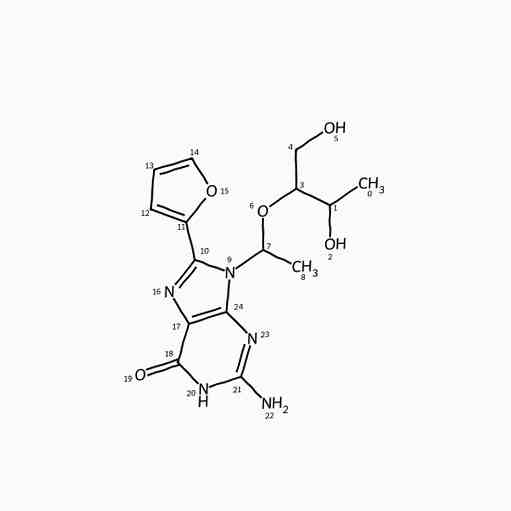 CC(O)C(CO)OC(C)n1c(-c2ccco2)nc2c(=O)[nH]c(N)nc21